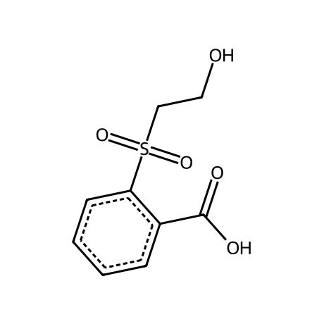 O=C(O)c1ccccc1S(=O)(=O)CCO